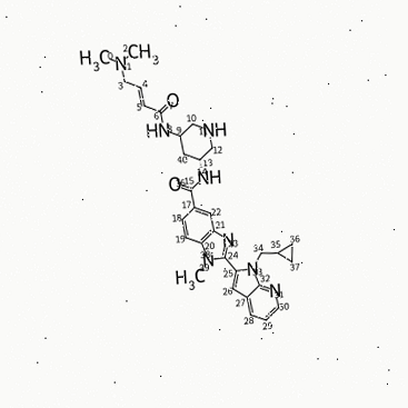 CN(C)C/C=C/C(=O)NC1CNC[C@H](NC(=O)c2ccc3c(c2)nc(-c2cc4cccnc4n2CC2CC2)n3C)C1